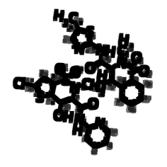 CN1C(C(=O)Nc2ccccn2)=C(O)c2sc(Cl)cc2S1(=O)=O.Cc1cnc(NC(=O)C2=C(O)c3ccccc3S(=O)(=O)N2C)s1